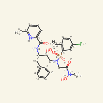 Cc1cccc(C(=O)N[C@@H](Cc2ccccc2)[C@H](O)CN(CC(=O)N(C)O)S(=O)(=O)c2cc(F)ccc2C)n1